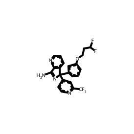 NC1=NC(c2cccc(OCCC(F)F)c2)(c2ccnc(C(F)(F)F)c2)c2cccnc21